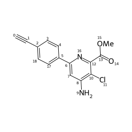 C#Cc1ccc(-c2cc(N)c(Cl)c(C(=O)OC)n2)cc1